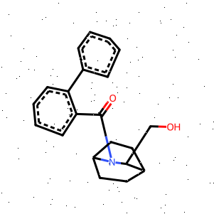 O=C(c1ccccc1-c1ccccc1)N1C2CCC(CC2)C1CO